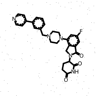 O=C1CCC(N2Cc3c(cc(F)cc3N3CCN(Cc4cccc(-c5ccncc5)c4)CC3)C2=O)C(=O)N1